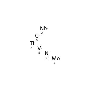 [Cr].[Mo].[Nb].[Ni].[Ti].[V]